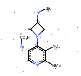 CNc1nccc(N2CC(NC(C)(C)C)C2)c1[N+](=O)[O-].NC(=O)O